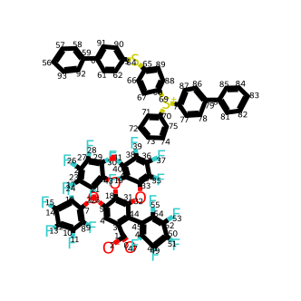 O=C([O-])c1cc(Oc2c(F)c(F)c(F)c(F)c2F)c(Oc2c(F)c(F)c(F)c(F)c2F)c(Oc2c(F)c(F)c(F)c(F)c2F)c1-c1c(F)c(F)c(F)c(F)c1F.c1ccc(-c2ccc(Sc3ccc([S+](c4ccccc4)c4ccc(-c5ccccc5)cc4)cc3)cc2)cc1